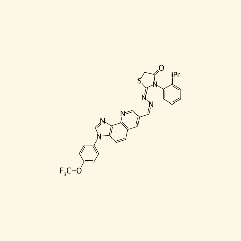 CC(C)c1ccccc1N1C(=O)CS/C1=N/N=C\c1cnc2c(ccc3c2ncn3-c2ccc(OC(F)(F)F)cc2)c1